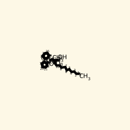 CCCCCCCCCCCC(CCO)O[Si](c1ccccc1)(c1ccccc1)C(C)(C)C